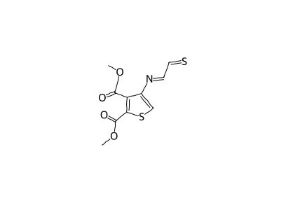 COC(=O)c1scc(N=CC=S)c1C(=O)OC